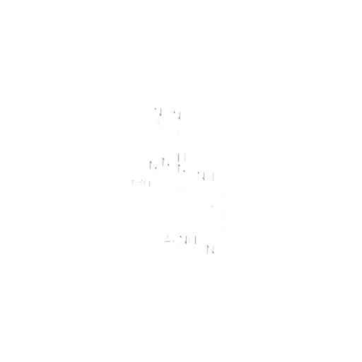 CC(=O)Nc1cc(Oc2ccc(NC(=O)Nc3cc(C(C)(C)C)nn3-c3ccc4ncncc4c3)cc2)ccn1